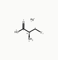 N[C@H](C[S-])C(=O)O.[Ag+]